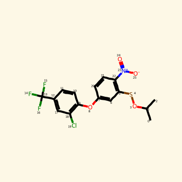 CC(C)OSc1cc(Oc2ccc(C(F)(F)F)cc2Cl)ccc1[N+](=O)[O-]